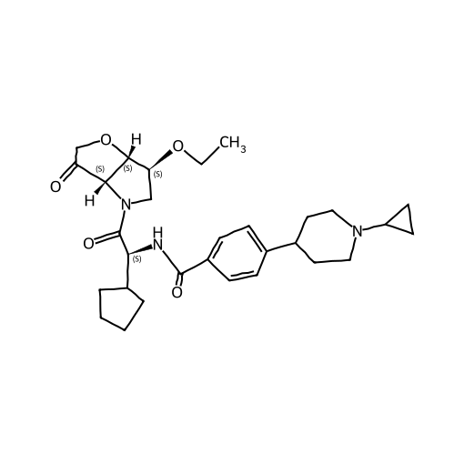 CCO[C@H]1CN(C(=O)[C@@H](NC(=O)c2ccc(C3CCN(C4CC4)CC3)cc2)C2CCCC2)[C@@H]2C(=O)CO[C@H]12